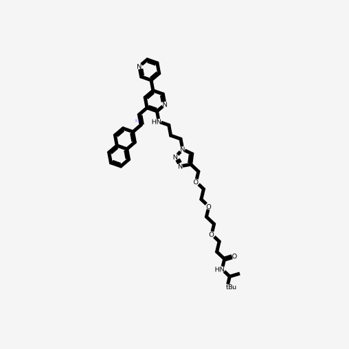 CC(NC(=O)CCOCCOCCOCc1cn(CCCNc2ncc(-c3cccnc3)cc2/C=C/c2ccc3ccccc3c2)nn1)C(C)(C)C